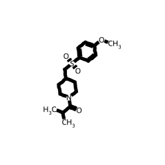 COc1ccc(S(=O)(=O)CC2CCN(C(=O)C(C)C)CC2)cc1